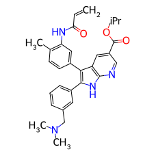 C=CC(=O)Nc1cc(-c2c(-c3cccc(CN(C)C)c3)[nH]c3ncc(C(=O)OC(C)C)cc23)ccc1C